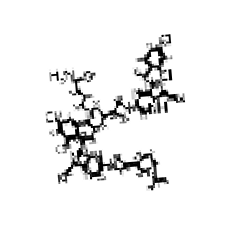 CC(C)N1CCCC(C2CN(c3cnc4c(C#N)nn(C(CC5CC(C6CN(C7=CNC8C(C#N)=NN(C(C)c9ccc(Cl)cc9Cl)C8=N7)C6)CN(CCCC(N)=O)C5)c5ccc(Cl)cc5Cl)c4n3)C2)C1